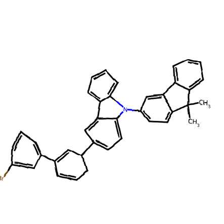 CC1(C)c2ccccc2-c2cc(-n3c4ccccc4c4cc(C5C=C(c6cccc(Br)c6)C=CC5)ccc43)ccc21